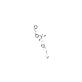 O=C(Cc1ccccc1)Nc1cccc(-c2nc3sccn3c2-c2ccnc(Nc3cccc(C(=O)NCCCn4ccnc4)c3)n2)c1